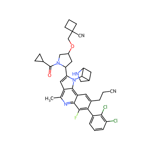 Cc1nc2c(F)c(-c3cccc(Cl)c3Cl)c(CCC#N)cc2c2c1cc(C1CC(OCC3(C#N)CCC3)CN1C(=O)C1CC1)n2C1C2CNC1C2